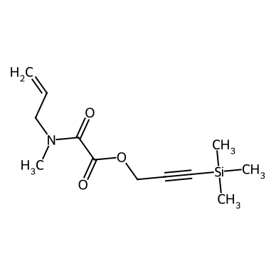 C=CCN(C)C(=O)C(=O)OCC#C[Si](C)(C)C